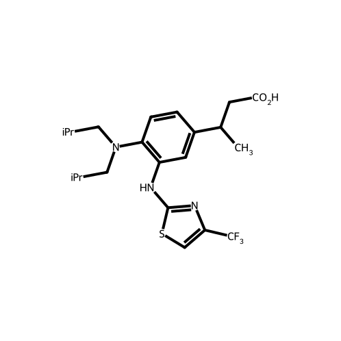 CC(C)CN(CC(C)C)c1ccc(C(C)CC(=O)O)cc1Nc1nc(C(F)(F)F)cs1